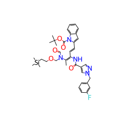 C/C(=C(/C=C/c1cc2ccccc2n1C(=O)OC(C)(C)C)NC(=O)c1cnn(Cc2cccc(F)c2)c1)N(C=O)COCC[Si](C)(C)C